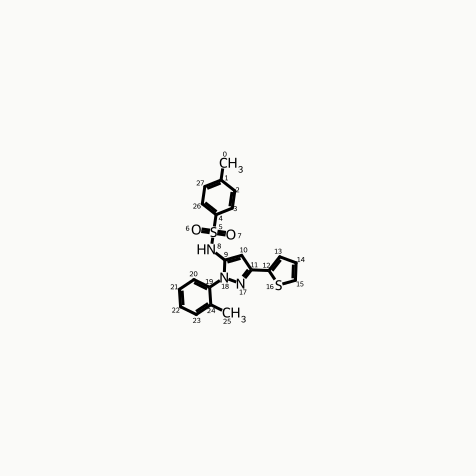 Cc1ccc(S(=O)(=O)Nc2cc(-c3cccs3)nn2-c2ccccc2C)cc1